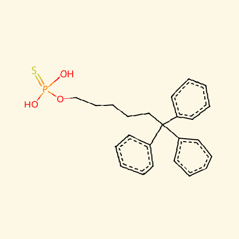 OP(O)(=S)OCCCCCC(c1ccccc1)(c1ccccc1)c1ccccc1